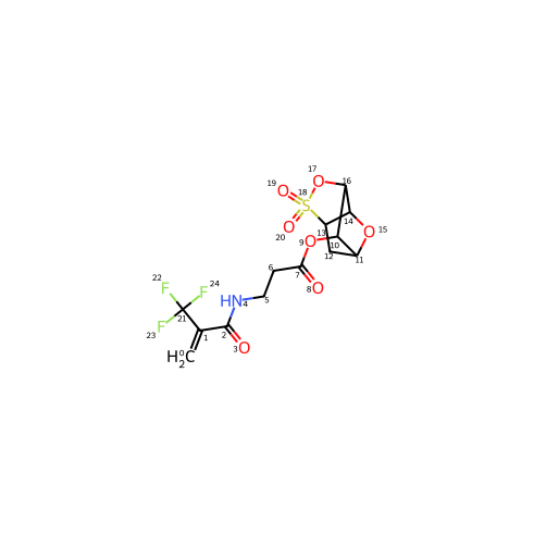 C=C(C(=O)NCCC(=O)OC1C2CC3C(O2)C1OS3(=O)=O)C(F)(F)F